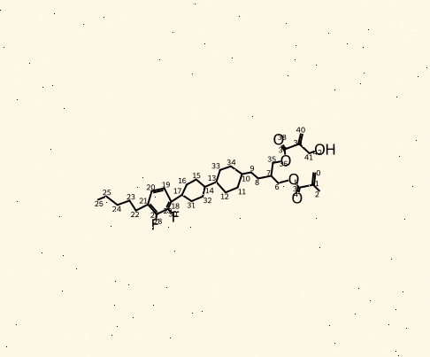 C=C(C)C(=O)OCC(CCC1CCC(C2CCC(c3ccc(CCCCC)c(F)c3F)CC2)CC1)COC(=O)C(=C)CO